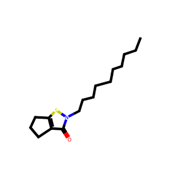 CCCCCCCCCCn1sc2c(c1=O)CCC2